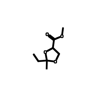 CCC1(C)OCC(C(=O)OC)O1